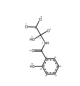 O=C(NC(O)(Cl)C(Cl)Cl)c1ccccc1O